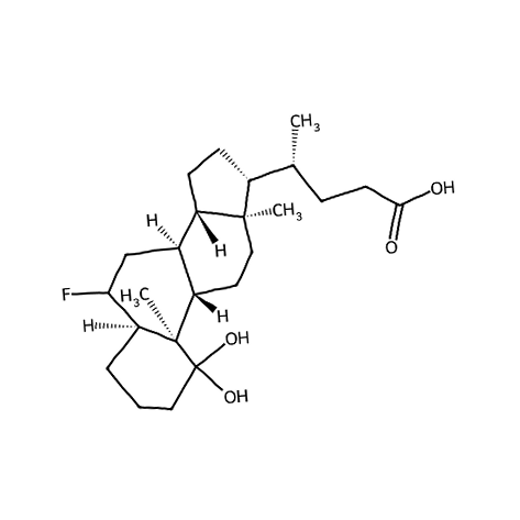 C[C@H](CCC(=O)O)[C@H]1CC[C@H]2[C@@H]3CC(F)[C@@H]4CCCC(O)(O)[C@]4(C)[C@H]3CC[C@]12C